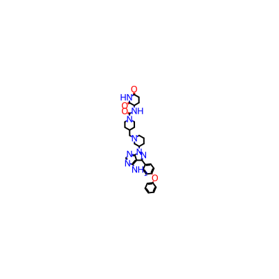 Nc1ncnc2c1c(-c1ccc(Oc3ccccc3)cc1)nn2C1CCCN(CC2CCN(C(=O)NC3CCC(=O)NC3=O)CC2)C1